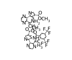 COC(=O)c1cnc(-c2nccnc2[C@@H](C)N)s1.COC(=O)c1cnc(-c2nccnc2[C@@H](C)NC(=O)c2cc(C(F)(F)F)cc(C(F)(F)F)c2)s1